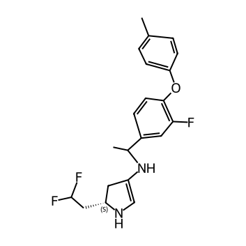 Cc1ccc(Oc2ccc(C(C)NC3=CN[C@H](CC(F)F)C3)cc2F)cc1